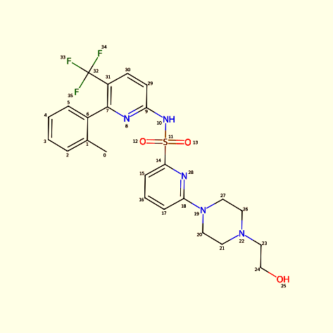 Cc1ccccc1-c1nc(NS(=O)(=O)c2cccc(N3CCN(CCO)CC3)n2)ccc1C(F)(F)F